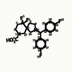 O=C(O)N1CCC(F)(F)C2(CCN(C(c3ccc(F)cc3)c3ccc(F)cc3)C2)C1